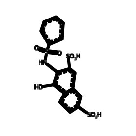 O=S(=O)(O)c1ccc2c(O)c(NS(=O)(=O)c3ccccc3)c(S(=O)(=O)O)cc2c1